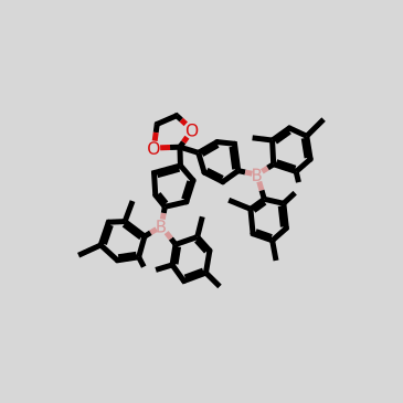 Cc1cc(C)c(B(c2ccc(C3(c4ccc(B(c5c(C)cc(C)cc5C)c5c(C)cc(C)cc5C)cc4)OCCO3)cc2)c2c(C)cc(C)cc2C)c(C)c1